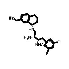 CC(=O)N[C@@H](Cc1cc(F)cc(F)c1)[C@H](N)CN[C@H]1CCCc2ccc(CC(C)C)cc21